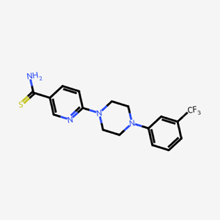 NC(=S)c1ccc(N2CCN(c3cccc(C(F)(F)F)c3)CC2)nc1